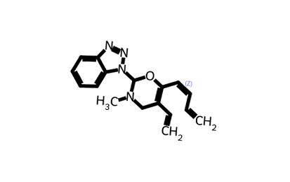 C=C/C=C\C1=C(C=C)CN(C)C(n2nnc3ccccc32)O1